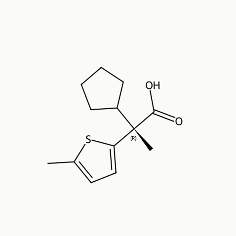 Cc1ccc([C@@](C)(C(=O)O)C2CCCC2)s1